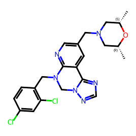 C[C@@H]1CN(Cc2cnc3c(c2)-c2ncnn2CN3Cc2ccc(Cl)cc2Cl)C[C@H](C)O1